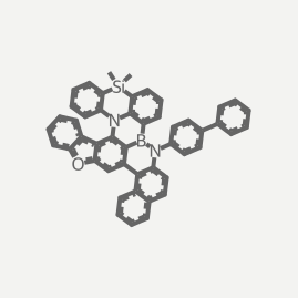 C[Si]1(C)c2ccccc2N2c3c(cccc31)B1c3c(cc4oc5ccccc5c4c32)-c2c(ccc3ccccc23)N1c1ccc(-c2ccccc2)cc1